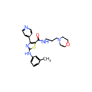 Cc1cccc(Nc2nc(-c3ccncc3)c(C(=O)NCCCN3CCOCC3)s2)c1